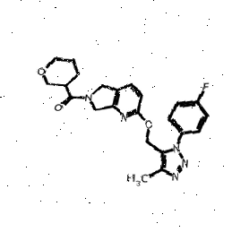 Cc1nnn(-c2ccc(F)cc2)c1COc1ccc2c(n1)CN(C(=O)C1CCCOC1)C2